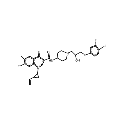 C=CC1CC1n1cc(C(=O)NC2CCN(CC(O)COc3ccc(Cl)c(F)c3)CC2)c(=O)c2cc(F)c(Cl)cc21